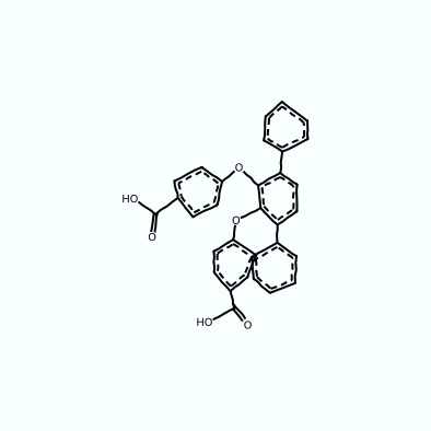 O=C(O)c1ccc(Oc2c(-c3ccccc3)ccc(-c3ccccc3)c2Oc2ccc(C(=O)O)cc2)cc1